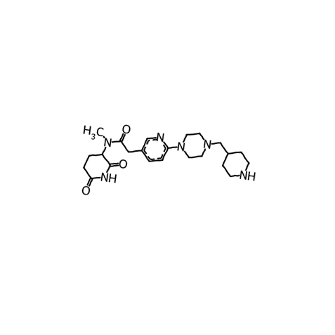 CN(C(=O)Cc1ccc(N2CCN(CC3CCNCC3)CC2)nc1)C1CCC(=O)NC1=O